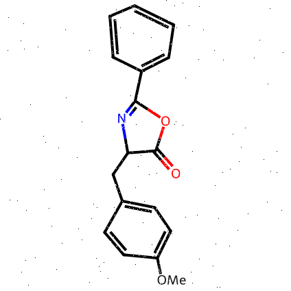 COc1ccc(CC2N=C(c3ccccc3)OC2=O)cc1